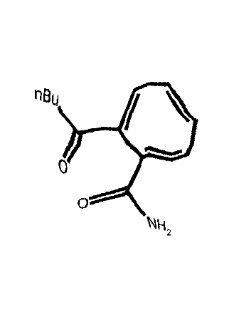 CCCCC(=O)c1ccccc1C(N)=O